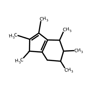 C[C]1C(C)=C(C)C2=C1CC(C)C(C)C2C